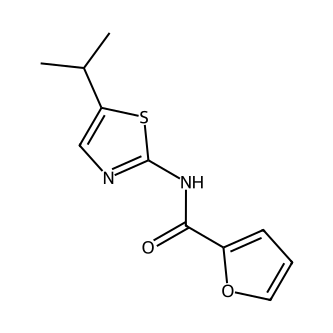 CC(C)c1cnc(NC(=O)c2ccco2)s1